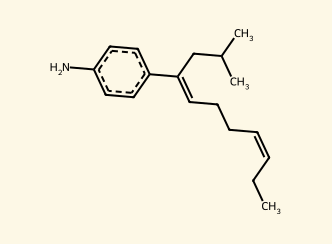 CC/C=C\CC/C=C(\CC(C)C)c1ccc(N)cc1